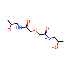 CC(O)CNC(=O)COCC(=O)NCC(C)O